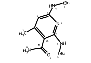 Cc1cc(NC(C)(C)C)nc(NC(C)(C)C)c1C(N)=O